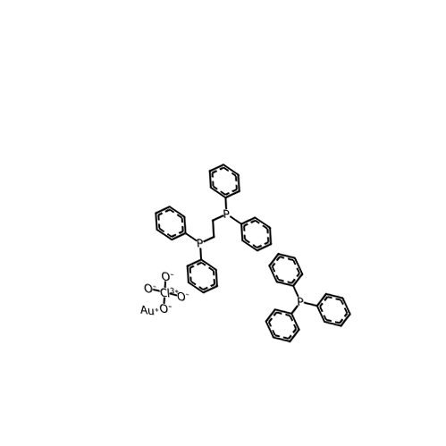 [Au+].[O-][Cl+3]([O-])([O-])[O-].c1ccc(P(CCP(c2ccccc2)c2ccccc2)c2ccccc2)cc1.c1ccc(P(c2ccccc2)c2ccccc2)cc1